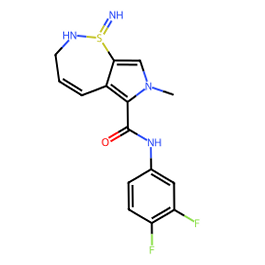 Cn1cc2c(c1C(=O)Nc1ccc(F)c(F)c1)C=CCNS2=N